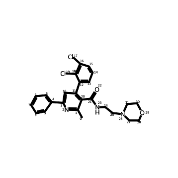 Cc1nc(-c2ccccc2)cc(-c2cccc(Cl)c2Cl)c1C(=O)NCCN1CCOCC1